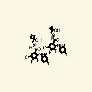 Cc1cc(I)ccc1Nc1c(C(=O)NOCC2(O)CC2)cc(Cl)c(F)c1F.Cc1cc(I)ccc1Nc1c(C(=O)NOCC2(O)CCC2)cc(Cl)c(F)c1F